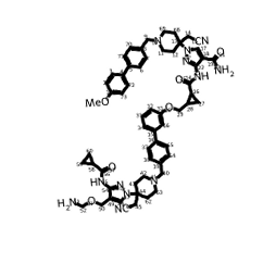 COc1ccc(-c2ccc(CN3CCC(CC#N)(n4cc(C(N)=O)c(NC(=O)C5CC5COc5cccc(-c6ccc(CN7CCC(CC#N)(n8cc(COCN)c(NC(=O)C9CC9)n8)CC7)cc6)c5)n4)CC3)cc2)cc1